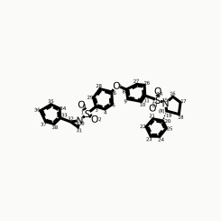 O=S(=O)(c1ccc(Oc2ccc(S(=O)(=O)N3CCC[C@@H]3c3ccccc3)cc2)cc1)N1CC1c1ccccc1